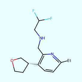 CCc1ccc([C@@H]2CCOC2)c(CNCC(F)F)n1